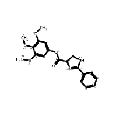 COc1cc(OC(=O)C2CNC(c3ccccc3)=N2)cc(OC)c1OC